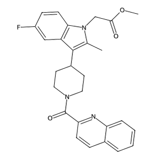 COC(=O)Cn1c(C)c(C2CCN(C(=O)c3ccc4ccccc4n3)CC2)c2cc(F)ccc21